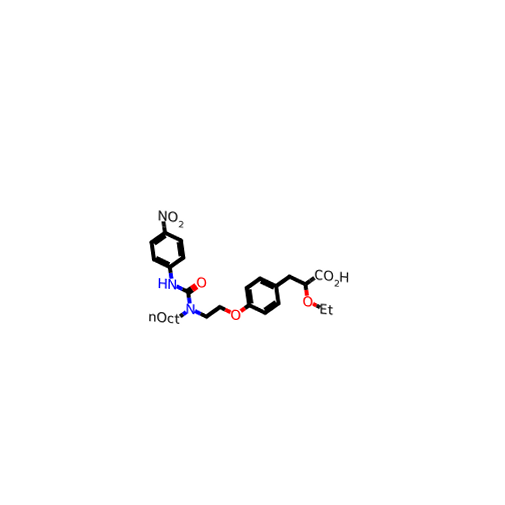 CCCCCCCCN(CCOc1ccc(CC(OCC)C(=O)O)cc1)C(=O)Nc1ccc([N+](=O)[O-])cc1